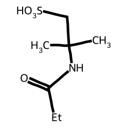 CCC(=O)NC(C)(C)CS(=O)(=O)O